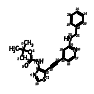 CC(C)(C)OC(=O)Nc1ncsc1C#Cc1ccnc(NCc2ccccc2)c1